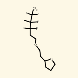 FC(F)(F)C(F)(F)C(F)(F)C(F)(F)CCOCCC1CCCO1